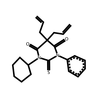 C=CCC1(CC=C)C(=O)N(c2ccccc2)C(=S)N(C2CCCCC2)C1=O